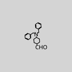 O=CC1CCC(N(Cc2ccccc2)Cc2ccccc2)CC1